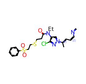 C=N/C=C\C=C(/C)n1cc(N(CC)C(=O)CCSCCS(=O)(=O)c2ccccc2)c(Cl)n1